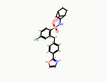 O=S(=O)(NC1CC2CCC1C2O)c1ccc(Cl)cc1Cc1ccc(-c2ncco2)cc1